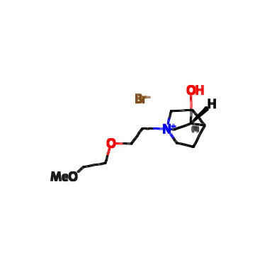 COCCOCC[N+]12CCC(CC1)[C@@H](O)C2.[Br-]